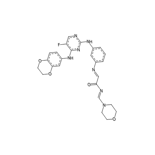 O=C(C=Nc1cccc(Nc2ncc(F)c(Nc3ccc4c(c3)OCCO4)n2)c1)N=CN1CCOCC1